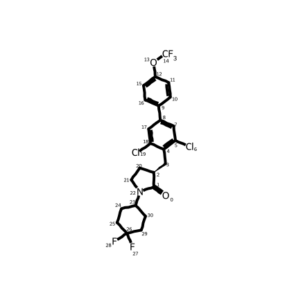 O=C1[C@H](Cc2c(Cl)cc(-c3ccc(OC(F)(F)F)cc3)cc2Cl)CCN1C1CCC(F)(F)CC1